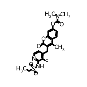 CCS(=O)(=O)Nc1nccc(Cc2c(C)c3ccc(OC(=O)N(C)C)cc3oc2=O)c1F